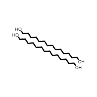 OCCCCCCCCCCCCCCO.OCCCCCCCCCCCCCCO